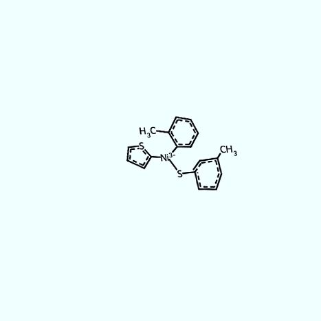 Cc1cccc([S][Ni-3]([c]2cccs2)[c]2ccccc2C)c1